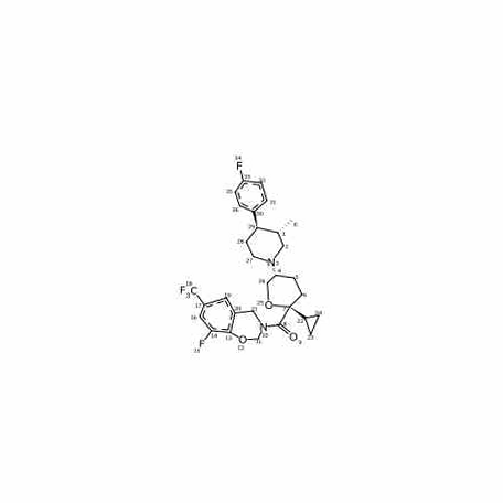 C[C@@H]1CN([C@@H]2CC[C@@](C(=O)N3COc4c(F)cc(C(F)(F)F)cc4C3)(C3CC3)OC2)CC[C@H]1c1ccc(F)cc1